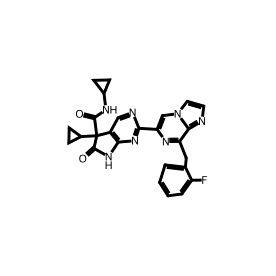 O=C1Nc2nc(-c3cn4ccnc4c(Cc4ccccc4F)n3)ncc2C1(C(=O)NC1CC1)C1CC1